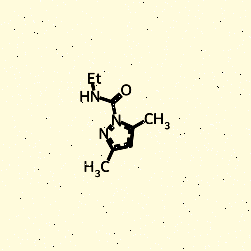 CCNC(=O)n1nc(C)cc1C